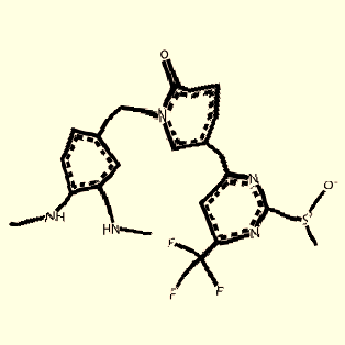 CNc1ccc(Cn2cc(-c3cc(C(F)(F)F)nc([S+](C)[O-])n3)ccc2=O)cc1NC